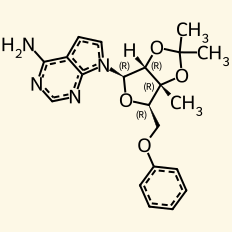 CC1(C)O[C@H]2[C@H](n3ccc4c(N)ncnc43)O[C@H](COc3ccccc3)[C@@]2(C)O1